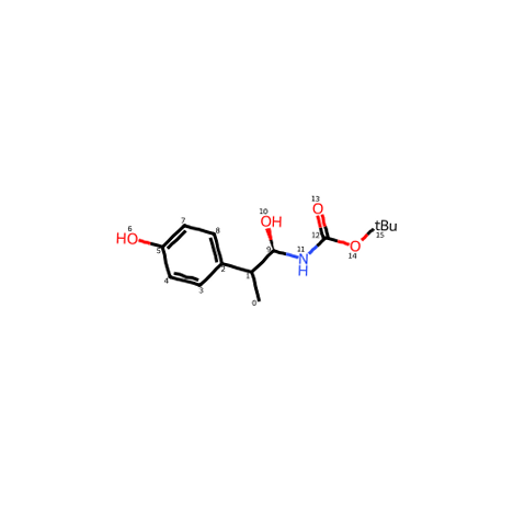 CC(c1ccc(O)cc1)[C@@H](O)NC(=O)OC(C)(C)C